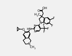 CN1CCc2cc(OC3CC3)c(Nc3ncc(C(F)(F)F)c(N4CC(C)(CC(=O)O)c5cc(F)c(F)cc54)n3)cc2C1